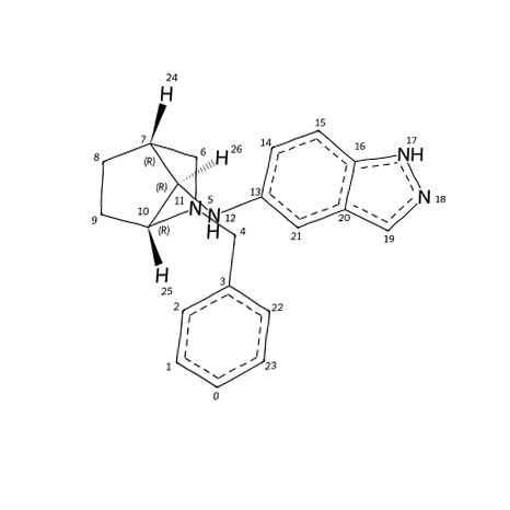 c1ccc(CN2C[C@H]3CC[C@@H]2[C@@H]3Nc2ccc3[nH]ncc3c2)cc1